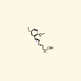 CCc1ccc(OC)c(/C=C/CCC[C@@H](C)O)c1